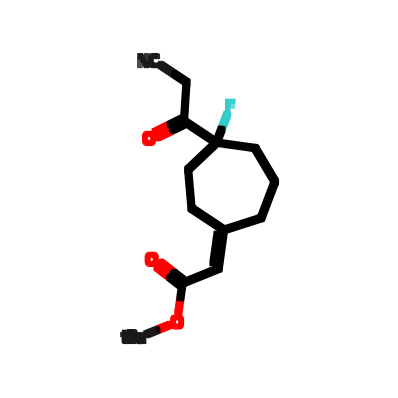 CC(C)(C)OC(=O)/C=C1/CCCC(F)(C(=O)CC#N)CC1